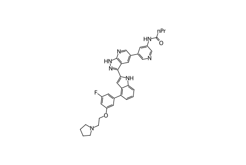 CCCC(=O)Nc1cncc(-c2cnc3[nH]nc(-c4cc5c(-c6cc(F)cc(OCCN7CCCC7)c6)cccc5[nH]4)c3c2)c1